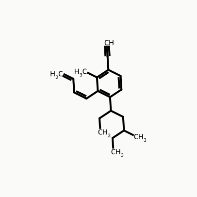 C#Cc1ccc(C(CC)CC(C)CC)c(/C=C\C=C)c1C